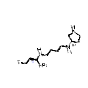 CCC/C(=C\CF)NCCCCN[C@H]1CCNC1